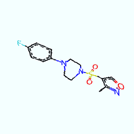 Cc1nocc1S(=O)(=O)N1CCN(c2ccc(F)cc2)CC1